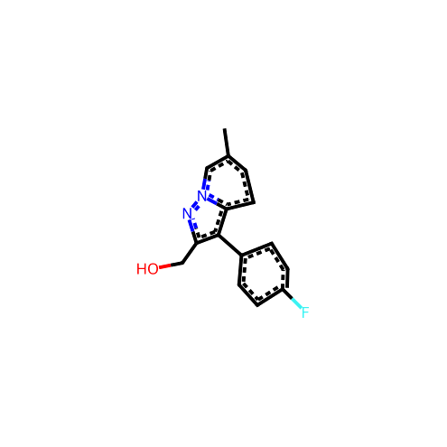 Cc1ccc2c(-c3ccc(F)cc3)c(CO)nn2c1